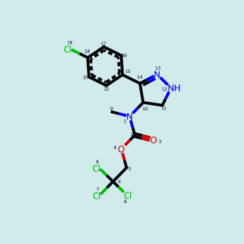 CN(C(=O)OCC(Cl)(Cl)Cl)C1CNN=C1c1ccc(Cl)cc1